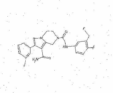 NC(=O)c1c(-c2cccc(F)c2)nn2c1CN(C(=O)Nc1ccc(F)c(CF)c1)CC2